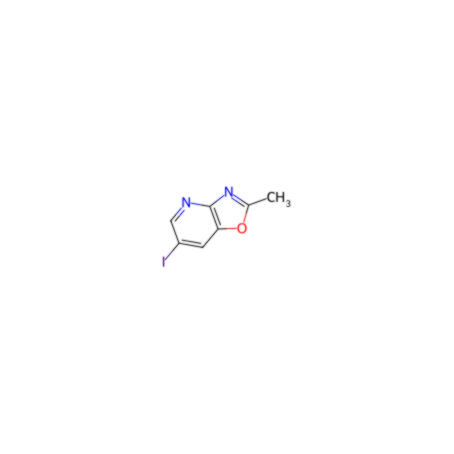 Cc1nc2ncc(I)cc2o1